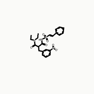 CCN(CC)C(=O)C(Cc1cccc([N+](=O)[O-])c1)C(=O)NS(=O)(=O)C=Cc1ccccc1